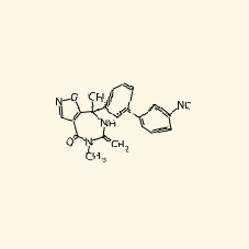 [C-]#[N+]c1cccc(-c2cccc(C3(C)NC(=C)N(C)C(=O)c4cnoc43)c2)c1